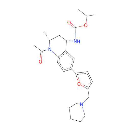 CC(=O)N1c2ccc(-c3ccc(CN4CCCCC4)o3)cc2[C@@H](NC(=O)OC(C)C)C[C@H]1C